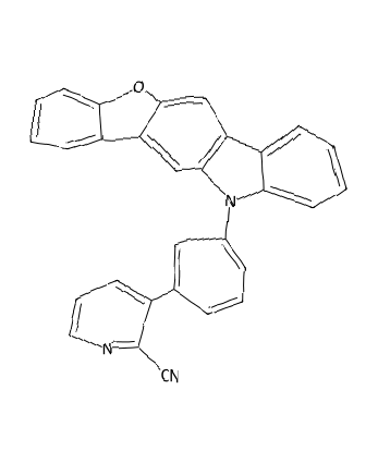 N#Cc1ncccc1-c1cccc(-n2c3ccccc3c3cc4oc5ccccc5c4cc32)c1